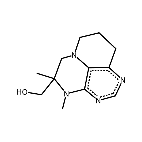 CN1c2ncnc3c2N(CCC3)CC1(C)CO